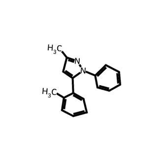 Cc1cc(-c2ccccc2C)n(-c2ccccc2)n1